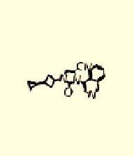 N#C[C@H]1CN(C2CC(C3CC3)C2)C(=O)N1c1cncc2ccccc12